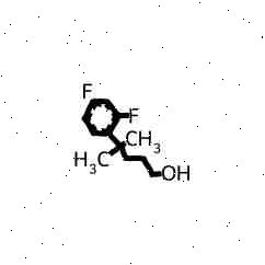 CC(C)(CCCO)c1ccc(F)cc1F